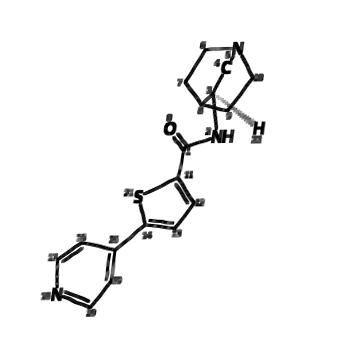 O=C(N[C@@H]1CN2CCC1CC2)c1ccc(-c2ccncc2)s1